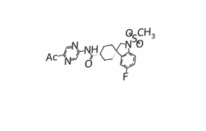 CC(=O)c1cnc(NC(=O)[C@H]2CC[C@]3(CC2)CN(S(C)(=O)=O)c2ccc(F)cc23)cn1